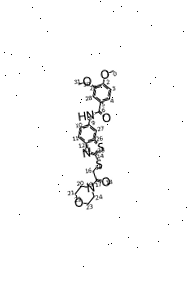 COc1ccc(C(=O)Nc2ccc3nc(SCC(=O)N4CCOCC4)sc3c2)cc1OC